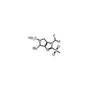 CC(C)(C)C1c2nc(S(C)(=O)=O)n(C(F)F)c2CN1C(=O)O